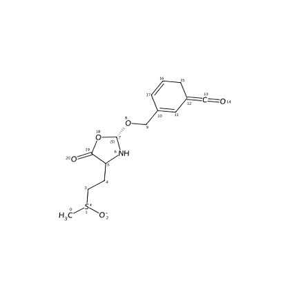 C[S+]([O-])CCC1N[C@@H](OCC2=CC(=C=O)CC=C2)OC1=O